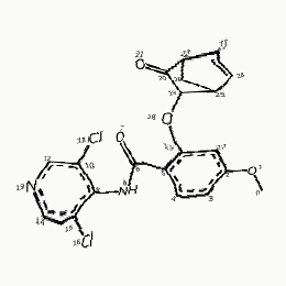 COc1ccc(C(=O)Nc2c(Cl)cncc2Cl)c(OC2C(=O)C3C=CC2C3)c1